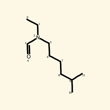 CCN(C=O)CCCCC(C)C